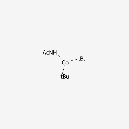 CC(=O)[NH][Co]([C](C)(C)C)[C](C)(C)C